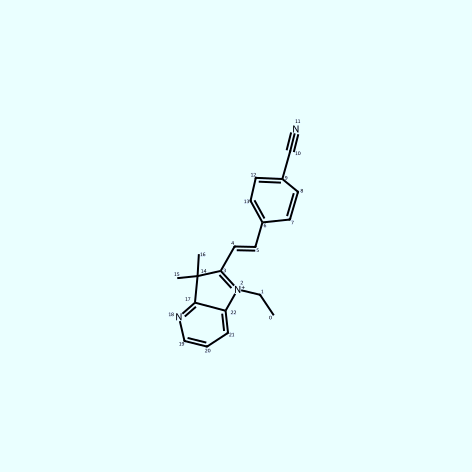 CC[N+]1=C(C=Cc2ccc(C#N)cc2)C(C)(C)c2ncccc21